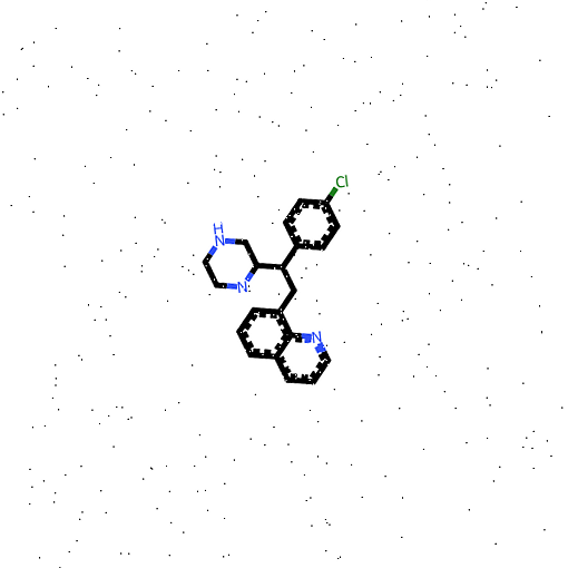 Clc1ccc(C(Cc2cccc3cccnc23)C2CNCC[N]2)cc1